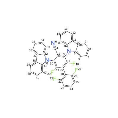 N#Cc1c(-n2c3ccccc3c3ccccc32)c(F)c(-c2c(F)cccc2F)c(F)c1-n1c2ccccc2c2ccccc21